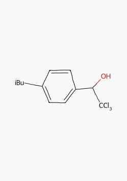 CCC(C)c1ccc(C(O)C(Cl)(Cl)Cl)cc1